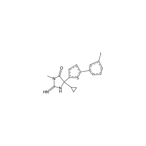 CN1C(=N)NC(c2ccc(-c3cccc(I)c3)s2)(C2CC2)C1=O